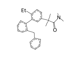 CCc1ccc(C(C)(C)C(=O)N(C)C)cc1-c1ccccc1Cc1ccccc1